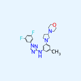 Cc1cc(Nc2ncn(-c3cc(F)cc(F)c3)n2)cc(N2CCC(N3CCOCC3)C2)c1